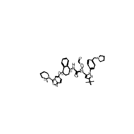 C[C@H]1CCCCN1c1nnc2ccc(O[C@@H]3CC[C@H](NC(=O)N(OC=O)c4cc(C(C)(C)C)nn4-c4ccc(CN5CCCC5)cc4)c4ccccc43)cn12